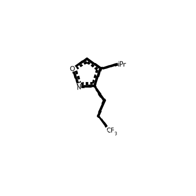 CC(C)c1conc1CCC(F)(F)F